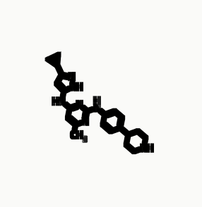 Cc1cc(Nc2cc(C3CC3)n[nH]2)nc(Nc2ccc(C3CCNCC3)cc2)n1